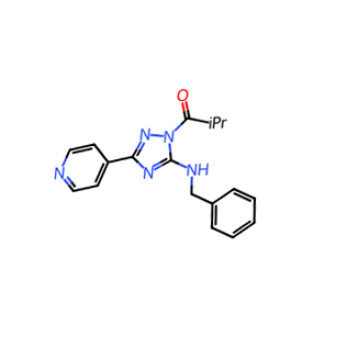 CC(C)C(=O)n1nc(-c2ccncc2)nc1NCc1ccccc1